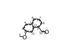 COc1ccc2cccc([C]=O)c2c1